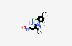 N#Cc1nn(-c2c(Cl)cc(C(F)(F)F)cc2Cl)c(N)c1CC=NO